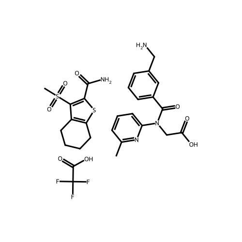 CS(=O)(=O)c1c(C(N)=O)sc2c1CCCC2.Cc1cccc(N(CC(=O)O)C(=O)c2cccc(CN)c2)n1.O=C(O)C(F)(F)F